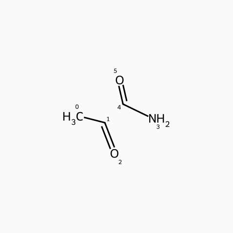 CC=O.NC=O